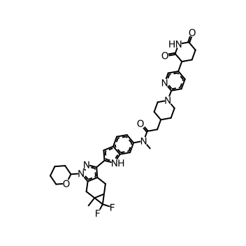 CN(C(=O)CC1CCN(c2ccc(C3CCC(=O)NC3=O)cn2)CC1)c1ccc2cc(-c3nn(C4CCCCO4)c4c3CC3C(F)(F)C3(C)C4)[nH]c2c1